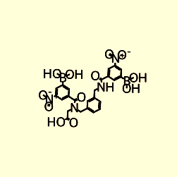 O=C(O)CN(Cc1cccc(CNC(=O)c2cc(B(O)O)cc([N+](=O)[O-])c2)c1)C(=O)c1cc(B(O)O)cc([N+](=O)[O-])c1